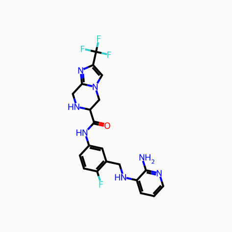 Nc1ncccc1NCc1cc(NC(=O)C2Cn3cc(C(F)(F)F)nc3CN2)ccc1F